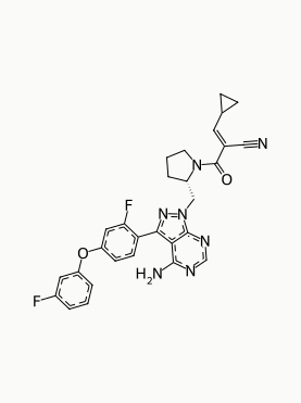 N#C/C(=C\C1CC1)C(=O)N1CCC[C@H]1Cn1nc(-c2ccc(Oc3cccc(F)c3)cc2F)c2c(N)ncnc21